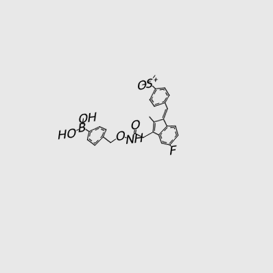 CC1=C(CC(=O)NOCc2ccc(B(O)O)cc2)c2cc(F)ccc2C1=Cc1ccc([S+](C)[O-])cc1